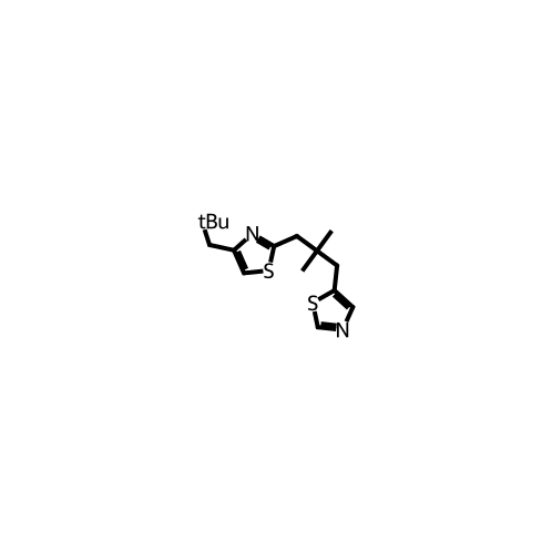 CC(C)(C)Cc1csc(CC(C)(C)Cc2cncs2)n1